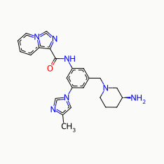 Cc1cn(-c2cc(CN3CCC[C@H](N)C3)cc(NC(=O)c3ncn4ccccc34)c2)cn1